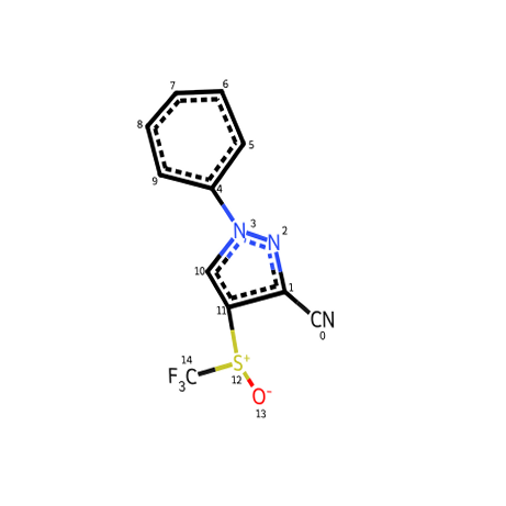 N#Cc1nn(-c2ccccc2)cc1[S+]([O-])C(F)(F)F